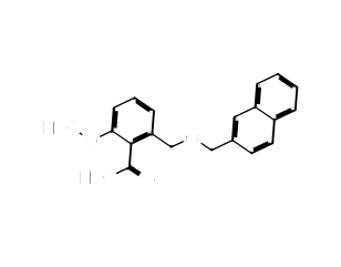 COc1cccc(COCc2ccc3ccccc3c2)c1C(C)=O